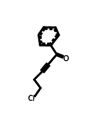 O=C(C#CCCCl)c1ccccc1